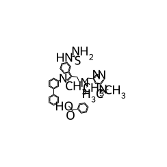 Cc1c(CCN(C)Cc2cc(N(C)C)cnn2)c2cc(NC(N)=S)ccc2n1-c1cccc(-c2ccccc2)c1.O=C(O)c1ccccc1